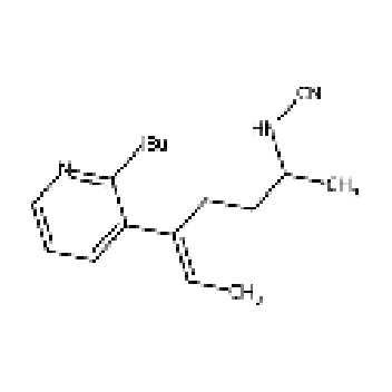 C/C=C(\CCC(C)NC#N)c1cccnc1C(C)CC